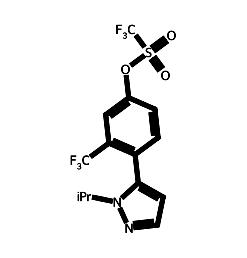 CC(C)n1nccc1-c1ccc(OS(=O)(=O)C(F)(F)F)cc1C(F)(F)F